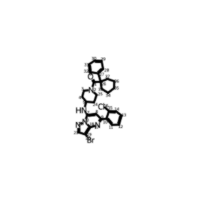 O=C(N1CCC(Nc2cc(-c3ccccc3Cl)nc3c(Br)cnn23)CC1)C1(c2ccccc2)CCCCC1